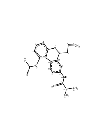 C=CCC1Oc2cccc(OC(F)F)c2-c2ccc(NC(=O)N(C)C)cc21